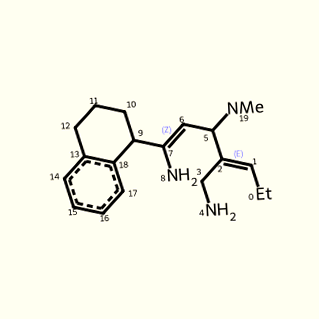 CC/C=C(\CN)C(/C=C(\N)C1CCCc2ccccc21)NC